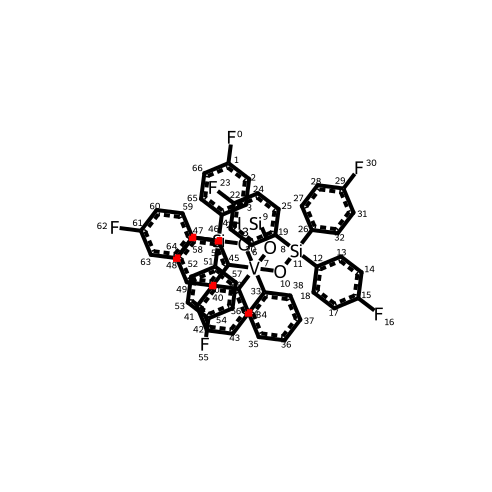 Fc1ccc([Si]([O][V]([O][SiH3])([O][Si](c2ccc(F)cc2)(c2ccc(F)cc2)c2ccc(F)cc2)([c]2ccccc2)([c]2ccccc2)[c]2ccccc2)(c2ccc(F)cc2)c2ccc(F)cc2)cc1